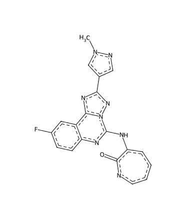 Cn1cc(-c2nc3c4cc(F)ccc4nc(Nc4ccccnc4=O)n3n2)cn1